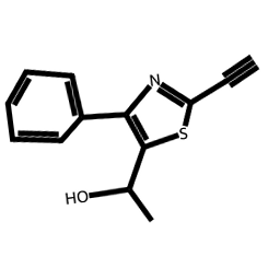 C#Cc1nc(-c2ccccc2)c(C(C)O)s1